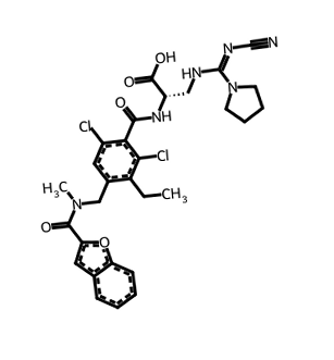 CCc1c(CN(C)C(=O)c2cc3ccccc3o2)cc(Cl)c(C(=O)N[C@@H](CN/C(=N/C#N)N2CCCC2)C(=O)O)c1Cl